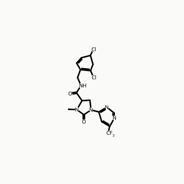 CN1C(=O)N(c2cc(C(F)(F)F)ncn2)CC1C(=O)NCC1=C(Cl)CC(Cl)C=C1